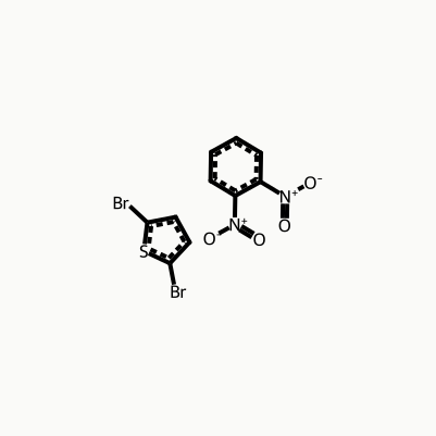 Brc1ccc(Br)s1.O=[N+]([O-])c1ccccc1[N+](=O)[O-]